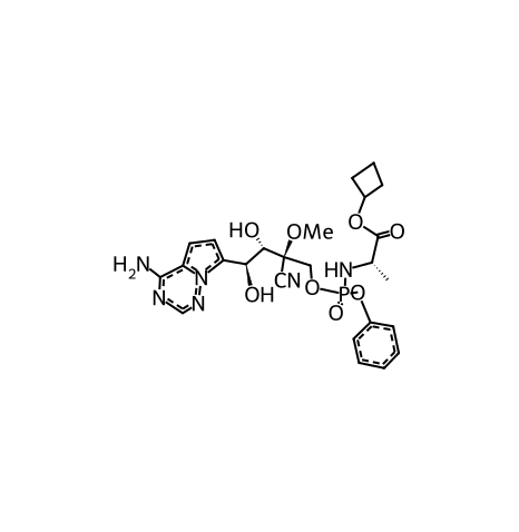 CO[C@](C#N)(COP(=O)(N[C@@H](C)C(=O)OC1CCC1)Oc1ccccc1)[C@@H](O)[C@@H](O)c1ccc2c(N)ncnn12